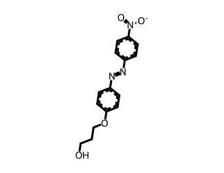 O=[N+]([O-])c1ccc(N=Nc2ccc(OCCCO)cc2)cc1